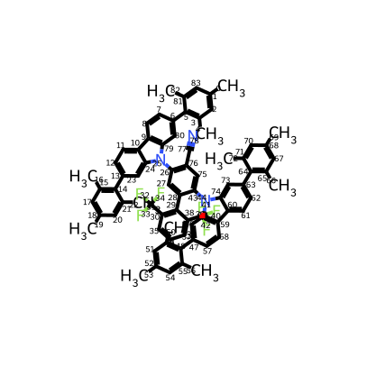 Cc1cc(C)c(-c2ccc3c4ccc(-c5c(C)cc(C)cc5C)cc4n(-c4cc(-c5c(C(F)(F)F)cccc5C(F)(F)F)c(-n5c6cc(-c7c(C)cc(C)cc7C)ccc6c6ccc(-c7c(C)cc(C)cc7C)cc65)cc4C#N)c3c2)c(C)c1